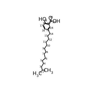 CC(C)CCCCCCCCCCCCc1ccc(O)c(C(=O)O)c1